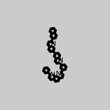 c1ccc(-c2ccc3ccc4ccc(-c5cccc(-c6ccc7cc(-c8ccc9ccc(-c%10ccc%11ccccc%11c%10)nc9c8)ccc7n6)c5)nc4c3n2)cc1